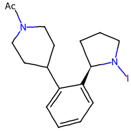 CC(=O)N1CCC(c2ccccc2[C@H]2CCCN2I)CC1